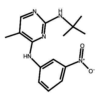 Cc1cnc(NC(C)(C)C)nc1Nc1cccc([N+](=O)[O-])c1